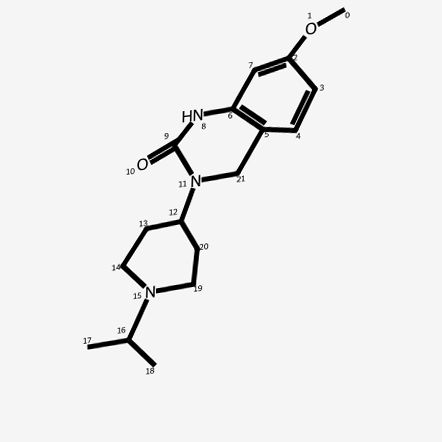 COc1ccc2c(c1)NC(=O)N(C1CCN(C(C)C)CC1)C2